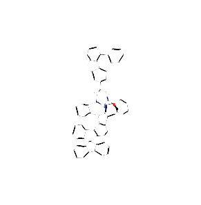 c1ccc(-c2nc(-c3ccc4c(c3)oc3cccc(-c5ccccc5)c34)nc(-c3ccccc3-n3c4ccccc4c4ccc5c(c43)-c3ccccc3C53c4ccccc4-c4ccccc43)n2)cc1